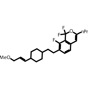 CCCC1=Cc2ccc(CCC3CCC(/C=C/COC)CC3)c(F)c2C(F)(F)O1